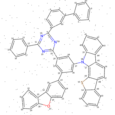 c1ccc(-c2cccc(-c3nc(-c4ccccc4)nc(-c4cc(-c5ccc6oc7ccccc7c6c5)cc(-n5c6ccccc6c6ccc7c8ccccc8sc7c65)c4)n3)c2)cc1